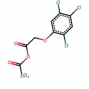 O=C(COc1cc(Cl)c(Cl)cc1Cl)OC(=O)C(Cl)(Cl)Cl